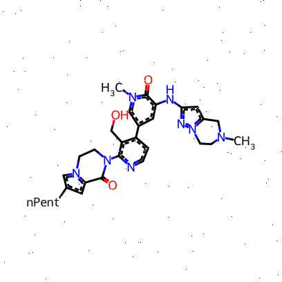 CCCCCc1cc2n(c1)CCN(c1nccc(-c3cc(Nc4cc5n(n4)CCN(C)C5)c(=O)n(C)c3)c1CO)C2=O